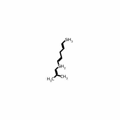 CC(C)=C[SiH2]C=CCC=C[SiH3]